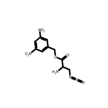 [N-]=[N+]=NCC(N)C(=O)OCc1cc([N+](=O)[O-])cc([N+](=O)[O-])c1